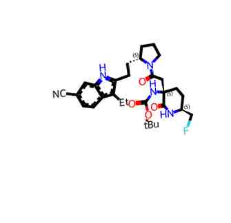 CCc1c(CC[C@@H]2CCCN2C(=O)C[C@@]2(NC(=O)OC(C)(C)C)CC[C@@H](CF)NC2=O)[nH]c2cc(C#N)ccc12